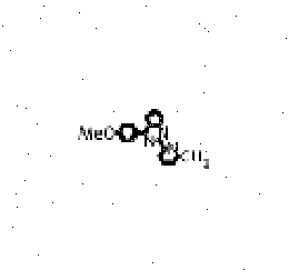 COc1ccc(-c2nc(-c3cccc(C)n3)nc3c2CCC3)cc1